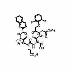 COC(=O)C[C@@H](NC(=O)[C@@H](NC(=O)[C@H](CCC(=O)O)NC(=O)[C@H](CC(C)C)NC(=O)c1ccc2ccccc2n1)[C@H](C)O)C(=O)COc1c(F)cccc1F